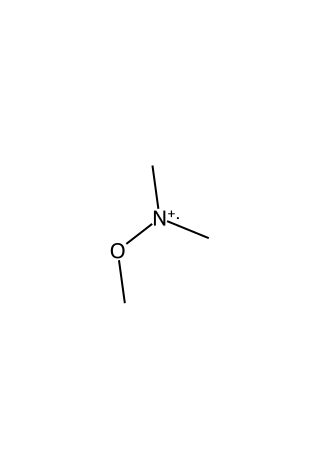 CO[N+](C)C